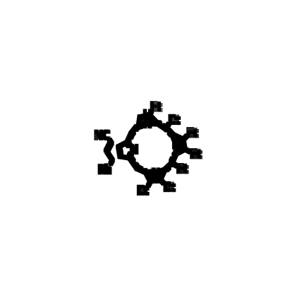 CCC1=C(CC)c2nc1c(CC)c1[nH]c(cc3nc(cc4c(CC)c(CC)c(c2CC)n4CC)C=C3)cc1CC.N#CC=C[CH2][Rh]